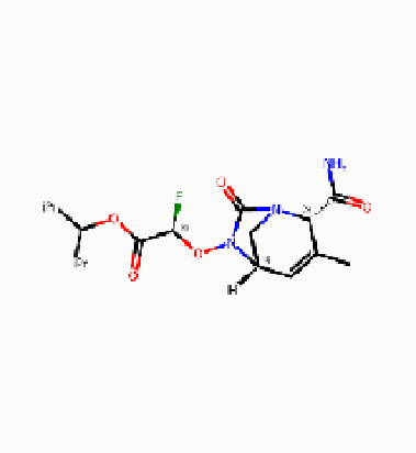 CC1=C[C@H]2CN(C(=O)N2O[C@H](F)C(=O)OC(C(C)C)C(C)C)[C@@H]1C(N)=O